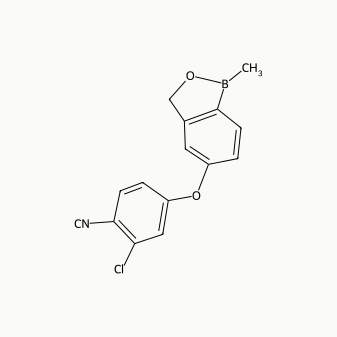 [C-]#[N+]c1ccc(Oc2ccc3c(c2)COB3C)cc1Cl